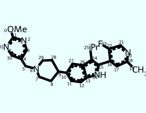 COc1ncc(CN2CCC(c3ccc4[nH]c(-c5cc(C)ncc5F)c(C(C)C)c4c3)CC2)cn1